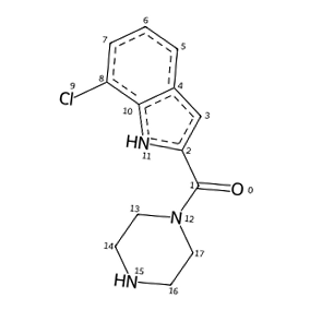 O=C(c1cc2cccc(Cl)c2[nH]1)N1CCNCC1